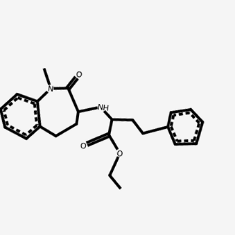 CCOC(=O)C(CCc1ccccc1)NC1CCc2ccccc2N(C)C1=O